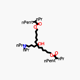 CCCCCC(CCC)C(=O)OCCCCCCC(O)(CCCCCCOC(=O)C(CCC)CCCCC)CCCCN(CCC)CCC